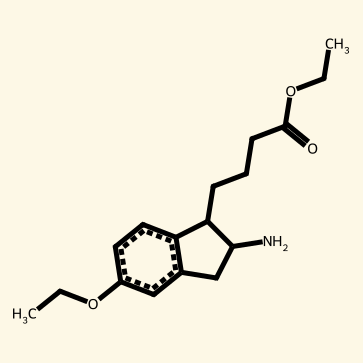 CCOC(=O)CCCC1c2ccc(OCC)cc2CC1N